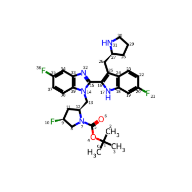 CC(C)(C)OC(=O)N1C[C@@H](F)C[C@H]1Cn1c(-c2[nH]c3cc(F)ccc3c2C[C@@H]2CCCN2)nc2cc(F)ccc21